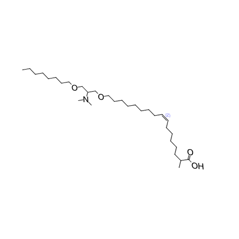 CCCCCCCCOCC(COCCCCCCCC/C=C\CCCCCC(C)C(=O)O)N(C)C